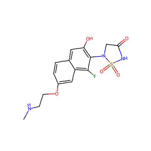 CNCCOc1ccc2cc(O)c(N3CC(=O)NS3(=O)=O)c(F)c2c1